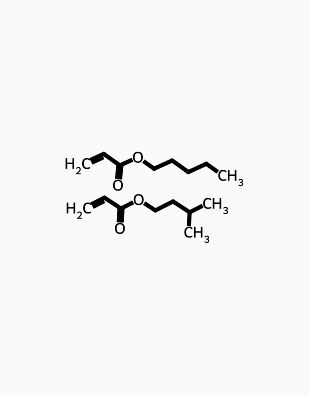 C=CC(=O)OCCC(C)C.C=CC(=O)OCCCCC